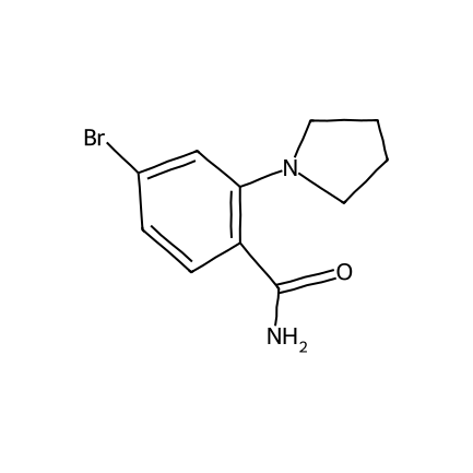 NC(=O)c1ccc(Br)cc1N1CCCC1